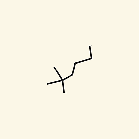 [CH2]CCCC([CH2])(C)C